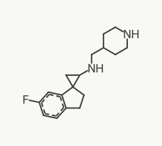 Fc1ccc2c(c1)C1(CC2)CC1NCC1CCNCC1